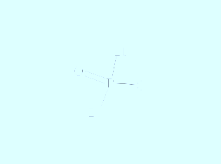 CCP(=O)(Cl)CC